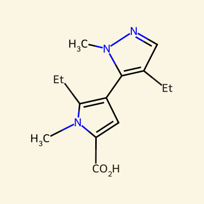 CCc1cnn(C)c1-c1cc(C(=O)O)n(C)c1CC